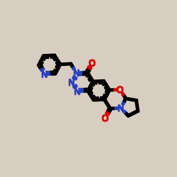 O=C1c2cc3nnn(Cc4cccnc4)c(=O)c3cc2OC2CCCN12